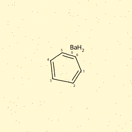 [BaH2].[c]1ccccc1